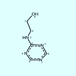 OCCNc1ncncn1